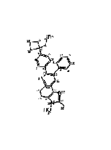 C[C](C)CC1(c2ccc(-c3nc4c(cc3-c3ccccc3)-c3nc(C)n(O)c3CC4)cc2)CCC1